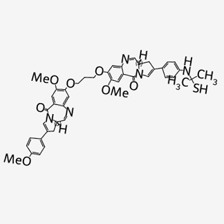 COc1ccc(C2=CN3C(=O)c4cc(OC)c(OCCCOc5cc6c(cc5OC)C(=O)N5C=C(c7ccc(NC(C)(C)S)cc7)C[C@H]5C=N6)cc4N=C[C@@H]3C2)cc1